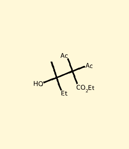 CCOC(=O)C(C(C)=O)(C(C)=O)C(C)(O)CC